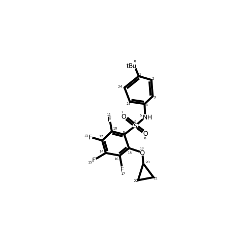 CC(C)(C)c1ccc(NS(=O)(=O)c2c(F)c(F)c(F)c(F)c2OC2CC2)cc1